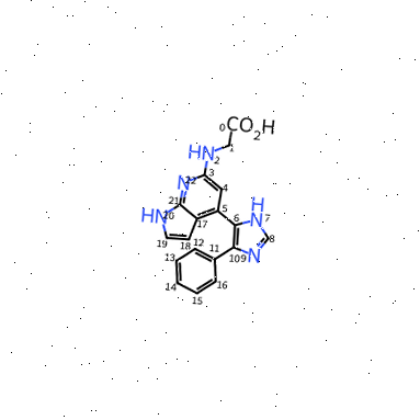 O=C(O)CNc1cc(-c2[nH]cnc2-c2ccccc2)c2cc[nH]c2n1